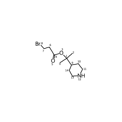 CC(C)(OC(=O)CCBr)C1CCNCC1